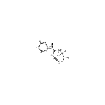 CC(C)C(C)(C)NC(=NC#N)Nc1cccnc1